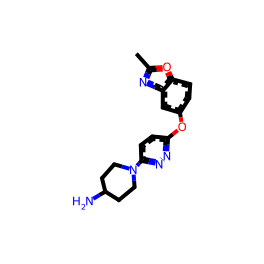 Cc1nc2cc(Oc3ccc(N4CCC(N)CC4)nn3)ccc2o1